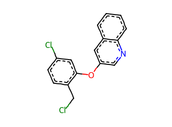 ClCc1ccc(Cl)cc1Oc1cnc2ccccc2c1